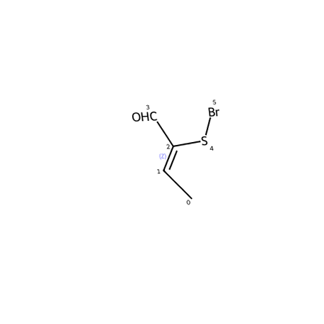 C/C=C(/C=O)SBr